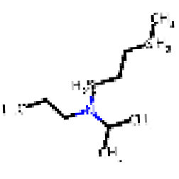 CCCN([SiH2]CC[SiH2]C)C(C)C